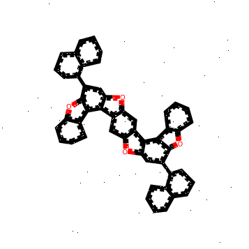 c1ccc2c(-c3cc4oc5cc6c(cc5c4c4c3oc3ccccc34)oc3cc(-c4cccc5ccccc45)c4oc5ccccc5c4c36)cccc2c1